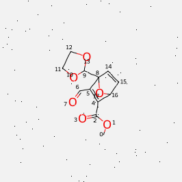 COC(=O)C1=C(C=O)C2(C3OCCO3)C=CC1O2